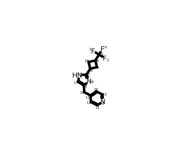 FC(F)(F)C1CC(c2nc(Cc3ccncc3)c[nH]2)C1